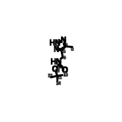 Cc1n[nH]nc1CNC(=O)OC(C)(C)C